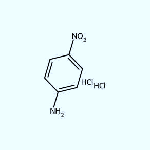 Cl.Cl.Nc1ccc([N+](=O)[O-])cc1